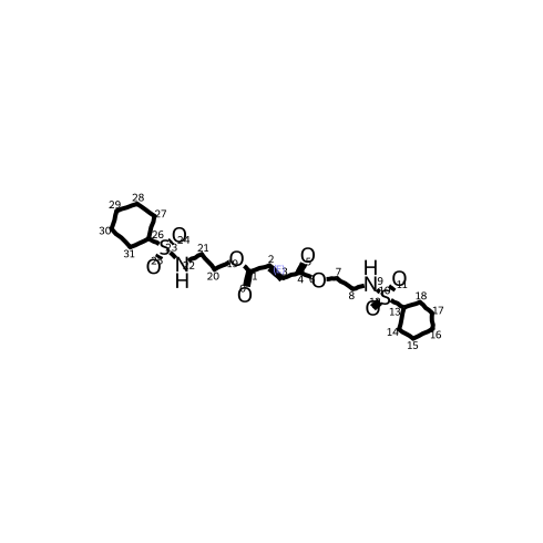 O=C(/C=C/C(=O)OCCNS(=O)(=O)C1CCCCC1)OCCNS(=O)(=O)C1CCCCC1